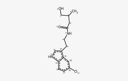 CC(CO)CC(=O)NCCc1c[nH]c2ccc(Cl)cc12